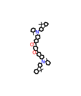 Cc1ccccc1N(c1ccc2c(c1)C(C)(C)c1ccccc1-2)c1ccc2cc3c(cc2c1)oc1cc2oc4cc5cc(N(c6ccc7c(c6)C(C)(C)c6ccccc6-7)c6ccccc6C)ccc5cc4c2cc13